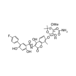 CO[C@@H]1[C@@H](OC(N)=O)[C@@H](O)[C@H](Oc2ccc3c(O)c(NC(=O)c4cc(-c5ccc(F)cc5)c(O)cc4O)c(=O)oc3c2C)OC1(C)C